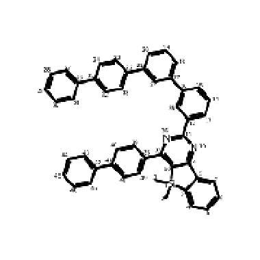 C[Si]1(C)c2ccccc2-c2nc(-c3cccc(-c4cccc(-c5ccc(-c6ccccc6)cc5)c4)c3)nc(-c3ccc(-c4ccccc4)cc3)c21